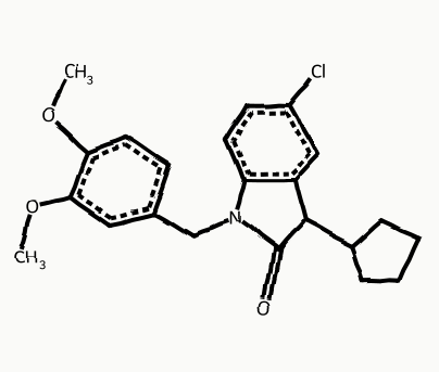 COc1ccc(CN2C(=O)C(C3CCCC3)c3cc(Cl)ccc32)cc1OC